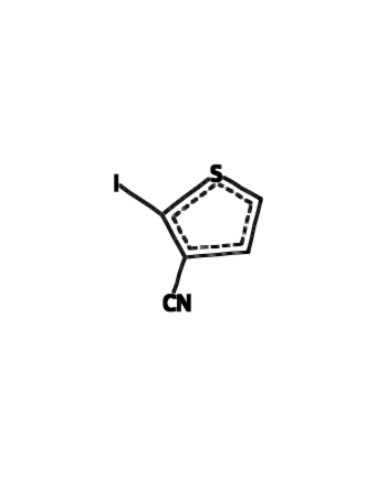 N#Cc1ccsc1I